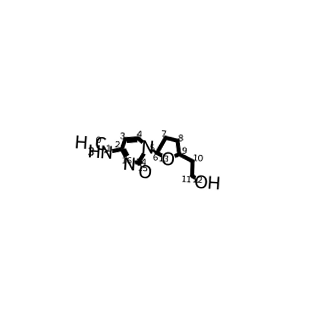 CNc1ccn([C@H]2CCC(CCO)O2)c(=O)n1